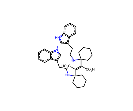 O=C(O)/C(=C(/C(=O)O)C1(NCCc2c[nH]c3ccccc23)CCCCC1)C1(NCCc2c[nH]c3ccccc23)CCCCC1